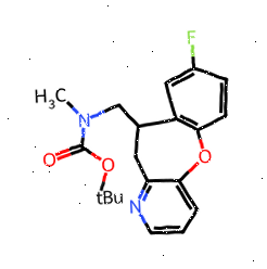 CN(CC1Cc2ncccc2Oc2ccc(F)cc21)C(=O)OC(C)(C)C